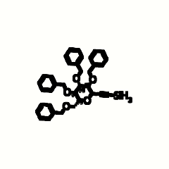 [SiH3]C#CC1O[C@H](COCc2ccccc2)[C@@H](OCc2ccccc2)[C@H](OCc2ccccc2)[C@H]1OCc1ccccc1